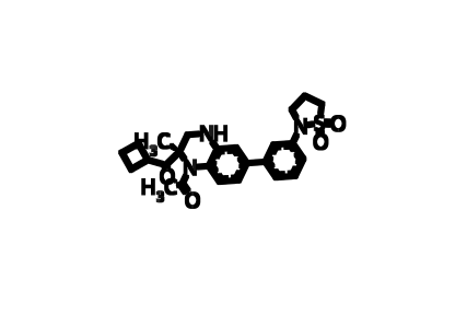 CC(=O)N1c2ccc(-c3cccc(N4CCCS4(=O)=O)c3)cc2NC[C@@]1(C)C(=O)C1CCC1